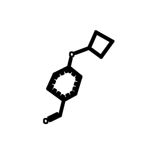 O=Cc1ccc(OC2CCC2)cc1